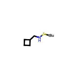 CC(C)(C)SNCC1CCC1